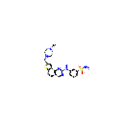 CC(=O)N1CCN(Cc2cc3c(ccc4cnc(Nc5cccc(S(N)(=O)=O)c5)nc43)s2)CC1